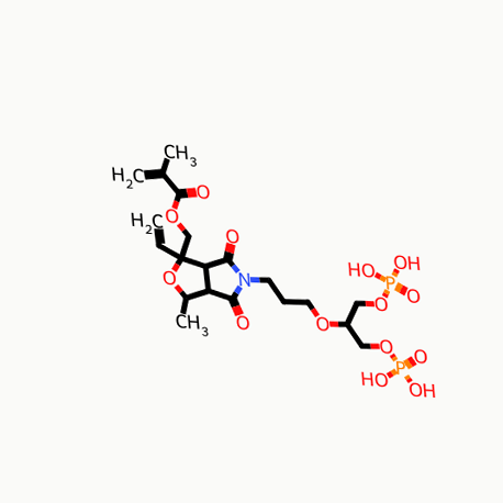 C=CC1(COC(=O)C(=C)C)OC(C)C2C(=O)N(CCCOC(COP(=O)(O)O)COP(=O)(O)O)C(=O)C21